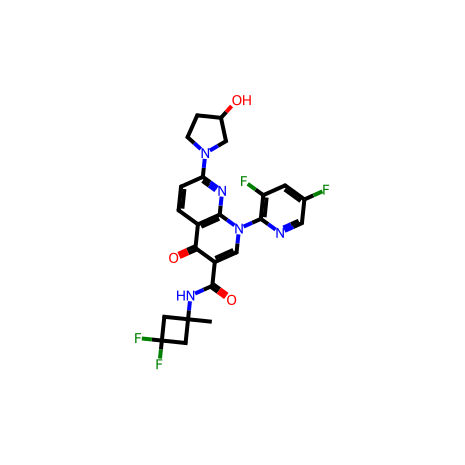 CC1(NC(=O)c2cn(-c3ncc(F)cc3F)c3nc(N4CCC(O)C4)ccc3c2=O)CC(F)(F)C1